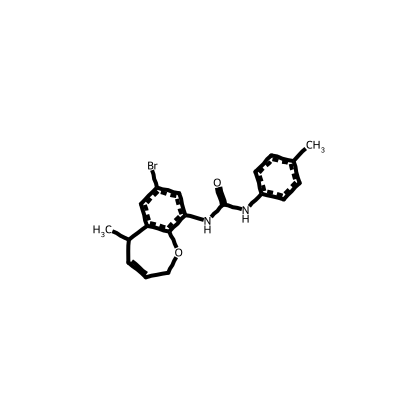 Cc1ccc(NC(=O)Nc2cc(Br)cc3c2OCC=CC3C)cc1